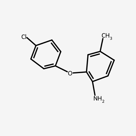 Cc1ccc(N)c(Oc2ccc(Cl)cc2)c1